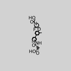 Cc1cc(-c2ccnc(NC(=O)[C@@H]3C[C@@H]3C(=O)O)c2)ccc1O[C@H]1CCN(C(=O)CO)C[C@H]1F